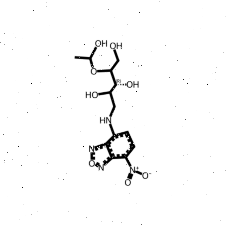 CC(O)OC(CO)[C@H](O)C(O)CNc1ccc([N+](=O)[O-])c2nonc12